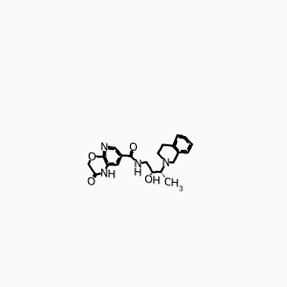 C[C@H]([C@H](O)CNC(=O)c1cnc2c(c1)NC(=O)CO2)N1CCc2ccccc2C1